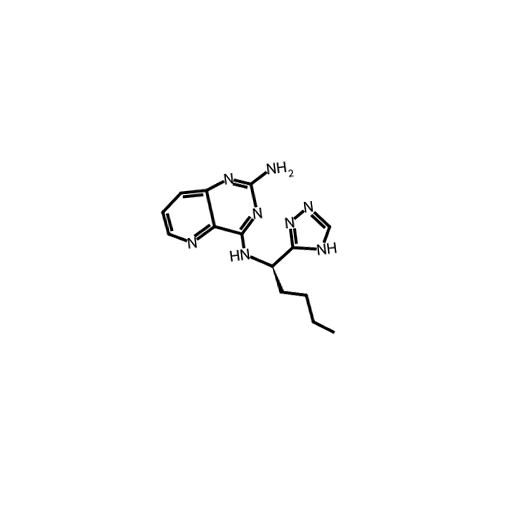 CCCC[C@@H](Nc1nc(N)nc2cccnc12)c1nnc[nH]1